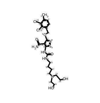 Cc1ccc(COc2nsc(NC(=O)NCCCCN(CCO)CCO)c2C(N)=O)c(Cl)c1Cl